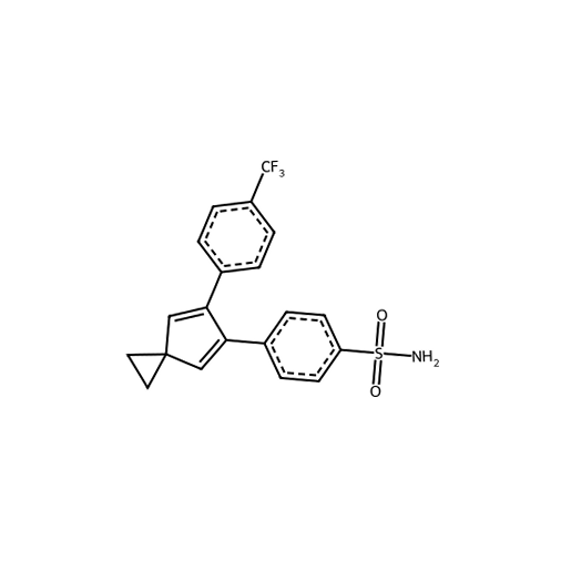 NS(=O)(=O)c1ccc(C2=CC3(C=C2c2ccc(C(F)(F)F)cc2)CC3)cc1